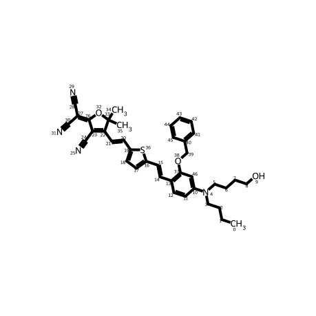 CCCCN(CCCCO)c1ccc(/C=C/c2ccc(/C=C/C3=C(C#N)C(=C(C#N)C#N)OC3(C)C)s2)c(OCc2ccccc2)c1